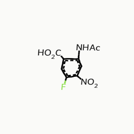 CC(=O)Nc1cc([N+](=O)[O-])c(F)cc1C(=O)O